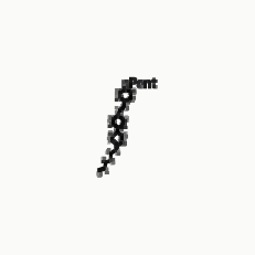 C=CCCCCC1=CCC(C2CCC(CCC3CCC(CCCCC)CC3)CC2)CC1